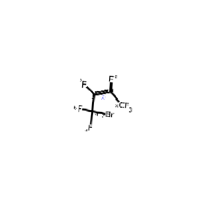 F/C(=C(\F)C(F)(F)Br)C(F)(F)F